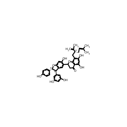 C=C(C)[C@H](CC=C(C)C)Cc1c(O)cc(O)c2c1OC(c1cc3c(cc1O)O[C@@H](c1ccc(O)cc1)[C@@H]3c1cc(O)cc(O)c1)CC2=O